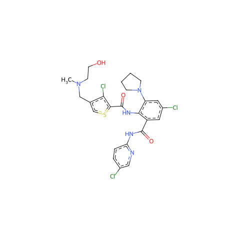 CN(CCO)Cc1csc(C(=O)Nc2c(C(=O)Nc3ccc(Cl)cn3)cc(Cl)cc2N2CCCC2)c1Cl